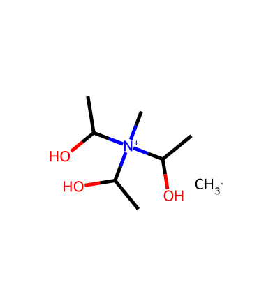 CC(O)[N+](C)(C(C)O)C(C)O.[CH3]